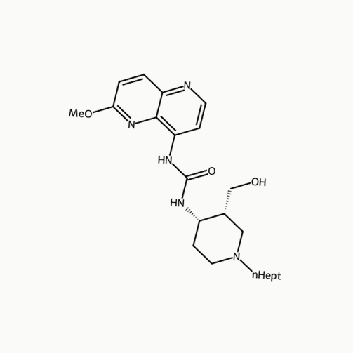 CCCCCCCN1CC[C@H](NC(=O)Nc2ccnc3ccc(OC)nc23)[C@H](CO)C1